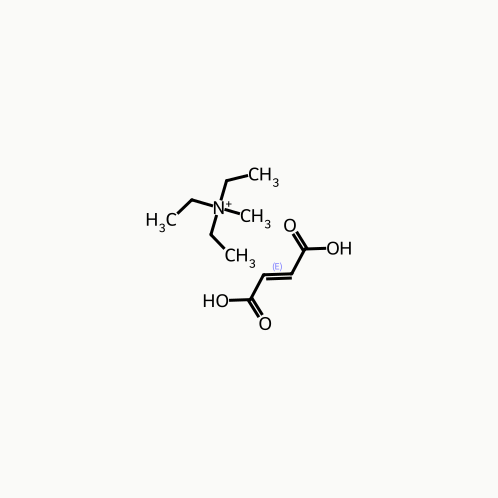 CC[N+](C)(CC)CC.O=C(O)/C=C/C(=O)O